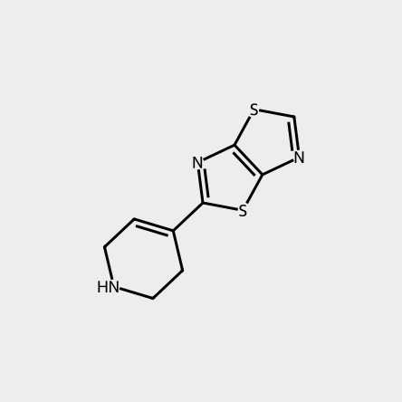 C1=C(c2nc3scnc3s2)CCNC1